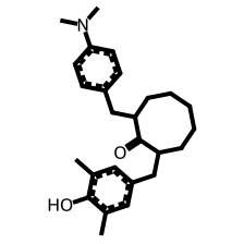 Cc1cc(CC2CCCCCC(Cc3ccc(N(C)C)cc3)C2=O)cc(C)c1O